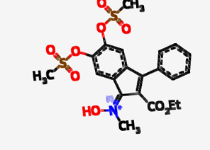 CCOC(=O)C1=C(c2ccccc2)c2cc(OS(C)(=O)=O)c(OS(C)(=O)=O)cc2/C1=[N+](/C)O